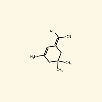 CC1(C)CC(N)=CC(=C(C#N)C#N)C1